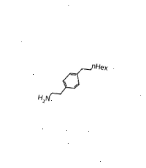 CCCCCCCCc1ccc(CCN)cc1